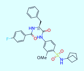 COc1cc(NC(=O)[C@H](Cc2ccccc2)NC(=O)c2ccc(F)cc2)ccc1S(=O)(=O)NC12CCC(C1)C2